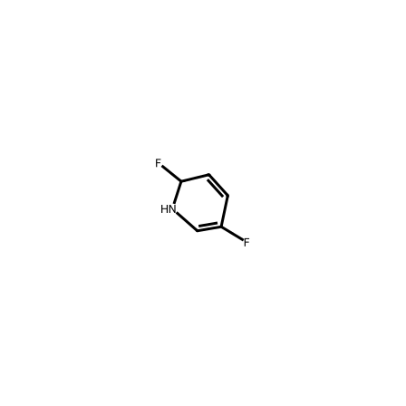 F[C]1C=CC(F)=CN1